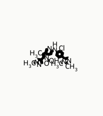 Cc1c(-c2cnn(C)c2)n(C(=O)O)c2cc(Nc3ccc(-c4cnc(C)n4C)cc3Cl)ncc12